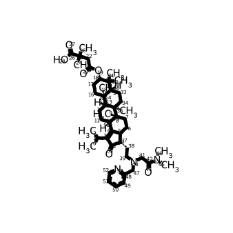 CC(C)C1=C2C(CC[C@]3(C)[C@@H]2CC[C@@H]2[C@@]4(C)CC[C@H](OC(=O)CC(C)(C)C(=O)O)C(C)(C)[C@@H]4CC[C@]23C)[C@H](CCN(CC(=O)N(C)C)Cc2ccccn2)C1=O